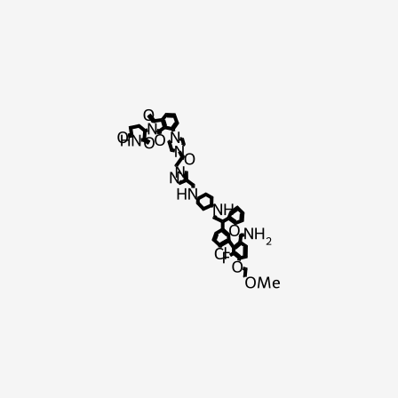 COCCOc1ccc(C(N)=O)c(-c2cc(C(CNC3CCC(NCc4cnn(CC(=O)N5CCN(c6cccc7c6C(=O)N(C6CCC(=O)NC6=O)C7=O)CC5)c4)CC3)c3ccccc3)ccc2Cl)c1F